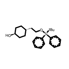 CC(C)(C)[Si](OCC[C@H]1CC[C@H](O)CC1)(c1ccccc1)c1ccccc1